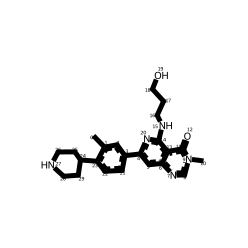 Cc1cc(-c2cc3ncn(C)c(=O)c3c(NCCCO)n2)ccc1C1CCNCC1